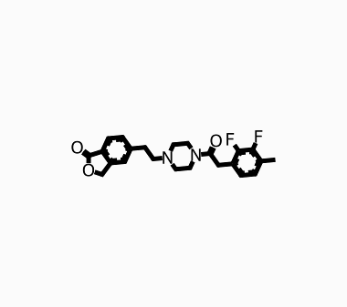 Cc1ccc(CC(=O)N2CCN(CCc3ccc4c(c3)COC4=O)CC2)c(F)c1F